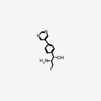 N[C@H](CF)[C@H](O)c1ccc(-c2cncnc2)cc1